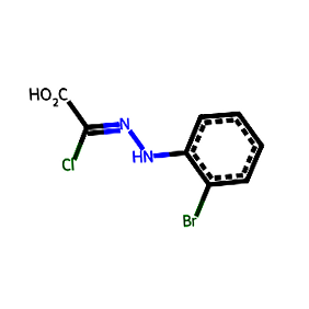 O=C(O)C(Cl)=NNc1ccccc1Br